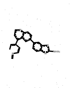 C=N/C=C\C(=C/C)c1ccnc2ccc(-c3ccc4nc(NC(C)=O)sc4c3)cc12